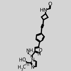 C[C@H](O)c1nccn1[C@H](CN)c1cc(-c2ccc(C#CC3CC(NC=O)C3)cc2)on1